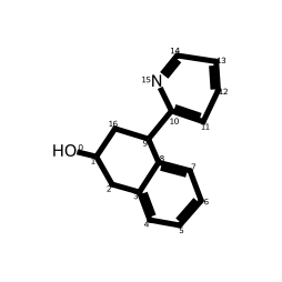 OC1Cc2ccccc2C(c2ccccn2)C1